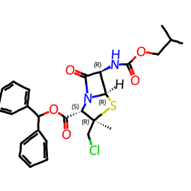 CC(C)COC(=O)N[C@@H]1C(=O)N2[C@@H]1S[C@@](C)(CCl)[C@@H]2C(=O)OC(c1ccccc1)c1ccccc1